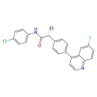 CC[C@@H](C(=O)Nc1ccc(Cl)cc1)c1ccc(-c2ccnc3ccc(F)cc23)cc1